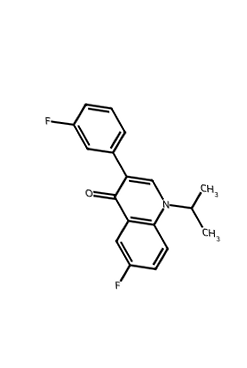 CC(C)n1cc(-c2cccc(F)c2)c(=O)c2cc(F)ccc21